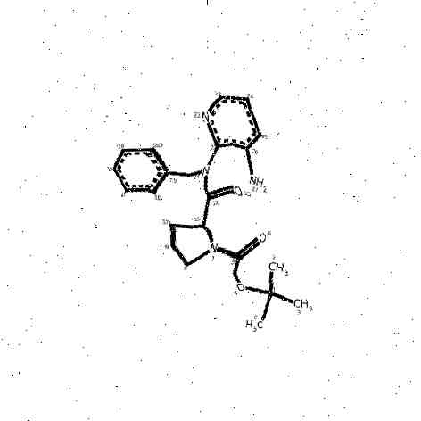 CC(C)(C)OC(=O)N1CCCC1C(=O)N(c1ccccc1)c1ncccc1N